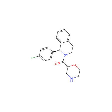 O=C(C1CNCCO1)N1CCc2ccccc2[C@@H]1c1ccc(F)cc1